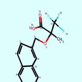 CC(OCc1ccc2ccccc2c1)(C(=O)O)C(F)(F)F